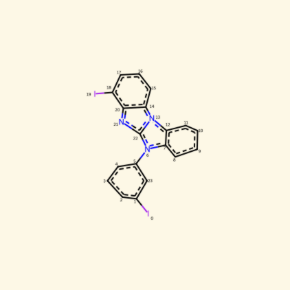 Ic1cccc(-n2c3ccccc3n3c4cccc(I)c4nc23)c1